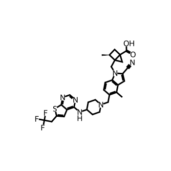 Cc1c(CN2CCC(Nc3ncnc4sc(CC(F)(F)F)cc34)CC2)ccc2c1cc(C#N)n2CC12CC1(C(=O)O)C[C@@H]2C